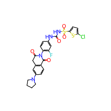 O=C(Nc1ccc(N2C(=O)Cc3cc(N4CCCC4)ccc3C2=O)c(F)c1)NS(=O)(=O)c1ccc(Cl)s1